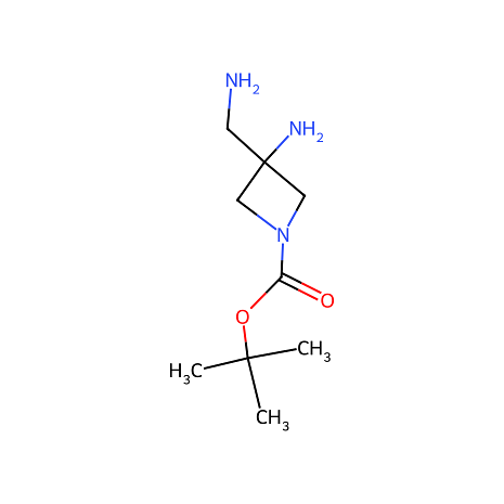 CC(C)(C)OC(=O)N1CC(N)(CN)C1